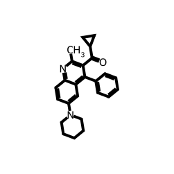 Cc1nc2ccc(N3CCCCC3)cc2c(-c2ccccc2)c1C(=O)C1CC1